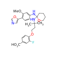 COc1cc(NC2(NC(C)(C)CCOc3ccc(C(=O)O)cc3F)CCCCO2)ccc1-c1cnco1